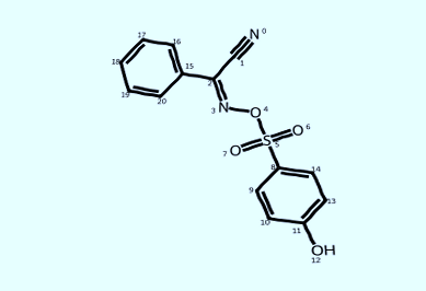 N#CC(=NOS(=O)(=O)c1ccc(O)cc1)c1ccccc1